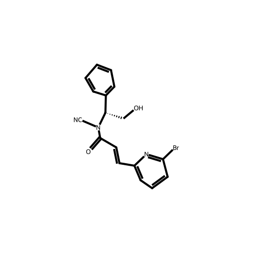 N#CN(C(=O)/C=C/c1cccc(Br)n1)[C@@H](CO)c1ccccc1